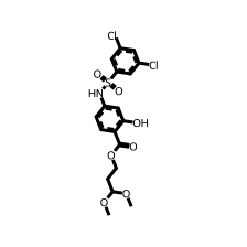 COC(CCOC(=O)c1ccc(NS(=O)(=O)c2cc(Cl)cc(Cl)c2)cc1O)OC